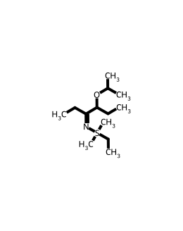 CCC(=NS(C)(C)CC)C(CC)OC(C)C